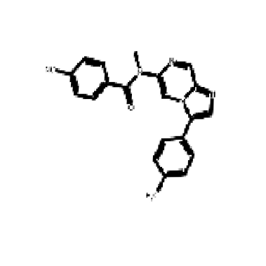 CN(C(=O)c1ccc(C#N)cc1)c1cn2c(-c3ccc(C(F)(F)F)cc3)cnc2cn1